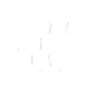 Nc1ccc(O)c(C(=O)c2ccccc2)c1